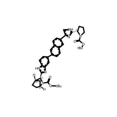 CC(C)(C)OC(=O)N1CCC[C@H]1c1nc(-c2ccc3cc(-c4ccc5[nH]c([C@@H]6[C@H]7CC[C@H](C7)N6C(=O)OC(C)(C)C)nc5c4)ccc3c2)c[nH]1